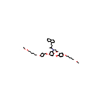 C=CC/C(=C1C=C/1CCc1cccc2ccccc12)c1cc(OC(=O)c2ccc(OCCCCCCOC(=O)C=C)cc2)ccc1OC(=O)c1ccc(OCCCCCCOC(=O)C=C)cc1